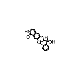 C[C@](O)(C(=O)Nc1cc2cc[nH]c(=O)c2cc1Cl)c1ccccc1